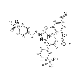 COC(=O)C1=C(C)N(c2cccc(C(F)(F)F)c2)c2nn(CCc3ccc(S(C)(=O)=O)cc3)c(=O)n2C1c1ccc(C#N)cc1